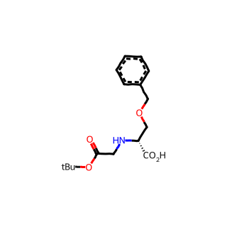 CC(C)(C)OC(=O)CN[C@H](COCc1ccccc1)C(=O)O